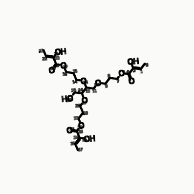 CC=C(O)C(=O)OCCCOCC(OCCCOC(=O)C(O)=CC)C(CO)OCCCOC(=O)C(O)=CC